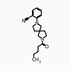 CCCCC(=O)N1CCC2(CCN(c3ccccc3C#N)C2)C1